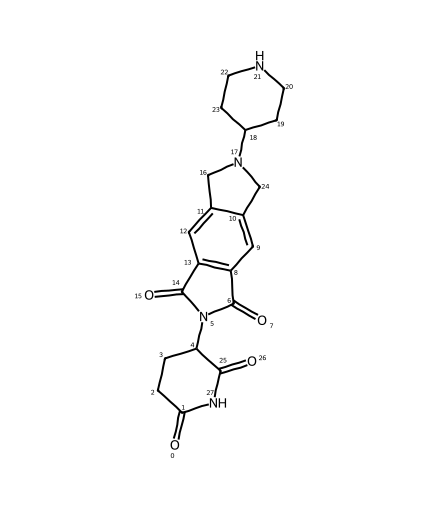 O=C1CCC(N2C(=O)c3cc4c(cc3C2=O)CN(C2CCNCC2)C4)C(=O)N1